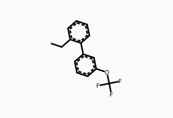 CCc1ccccc1-c1cccc(OC(F)(F)F)c1